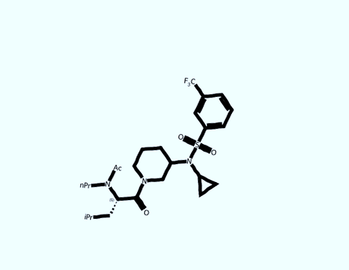 CCCN(C(C)=O)[C@@H](CC(C)C)C(=O)N1CCCC(N(C2CC2)S(=O)(=O)c2cccc(C(F)(F)F)c2)C1